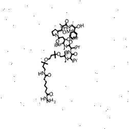 CC[C@H](C)[C@@H]([C@@H](CC(=O)N1CCC[C@H]1[C@H](OC)[C@@H](C)C(=O)N[C@H](C)[C@@H](O)c1ccccc1)OC)N(C)C(=O)C(NC(=O)C(C(C)C)N(C)C(=O)COC(C)(C)CCOC(C)(C)CCNC(=O)CCCCCC(=O)NN)C(C)C